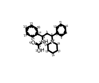 O=C(O)NC(CC(c1ccccc1)N1CCCCC1)c1ccccc1